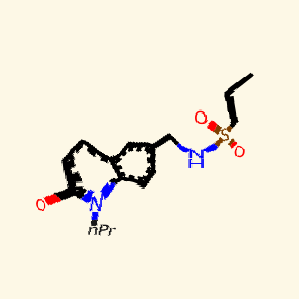 C/C=C/S(=O)(=O)NCc1ccc2c(ccc(=O)n2CCC)c1